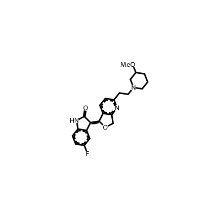 COC1CCCN(CCc2ccc3c(n2)CO/C3=C2/C(=O)Nc3ccc(F)cc32)C1